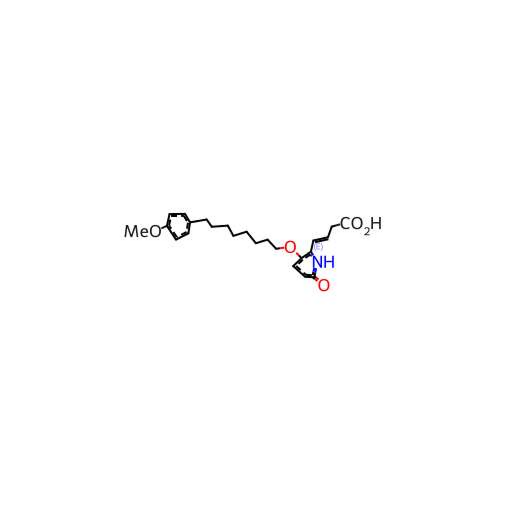 COc1ccc(CCCCCCCCOc2ccc(=O)[nH]c2/C=C/CC(=O)O)cc1